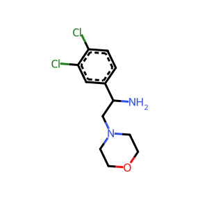 NC(CN1CCOCC1)c1ccc(Cl)c(Cl)c1